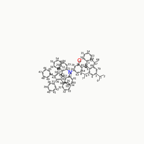 CC(C)c1cc(C(C)C)c(B2c3ccccc3Oc3cc(N4c5ccccc5[Si]5(C(c6ccccc6)=C(c6ccccc6)C(c6ccccc6)=C5c5ccccc5)c5ccccc54)ccc32)c(C(C)C)c1